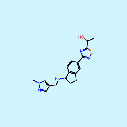 CC(O)c1nc(-c2ccc3c(c2)CC[C@H]3NCc2cnn(C)c2)no1